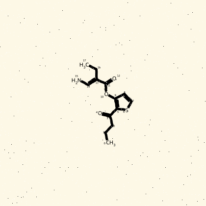 CCCC(=O)c1sccc1OC(=O)C(=CN)CC